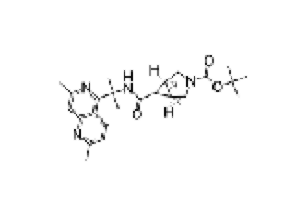 Cc1cc2nc(C)ccc2c(C(C)(C)NC(=O)C2[C@H]3CN(C(=O)OC(C)(C)C)C[C@@H]23)n1